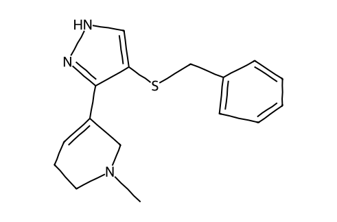 CN1CCC=C(c2n[nH]cc2SCc2ccccc2)C1